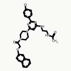 CC(=O)NCCNc1cc(N2CCN(C(=O)COc3ccc4ccccc4c3)CC2)nc(-c2ccc(Cl)cc2)n1